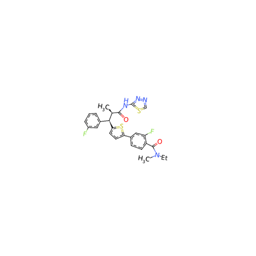 CCN(C)C(=O)c1ccc(-c2ccc([C@@H](c3cccc(F)c3)[C@@H](C)C(=O)Nc3nncs3)s2)cc1F